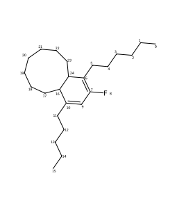 CCCCCCC1=C(F)C=C(CCCCC)C2CCCCCCCC12